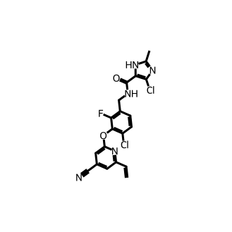 C=Cc1cc(C#N)cc(Oc2c(Cl)ccc(CNC(=O)c3[nH]c(C)nc3Cl)c2F)n1